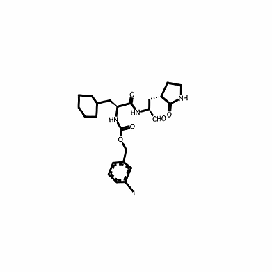 O=C[C@H](C[C@@H]1CCNC1=O)NC(=O)[C@H](CC1CCCCC1)NC(=O)OCc1cccc(I)c1